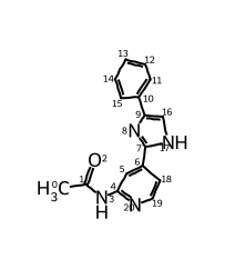 CC(=O)Nc1cc(-c2nc(-c3ccccc3)c[nH]2)ccn1